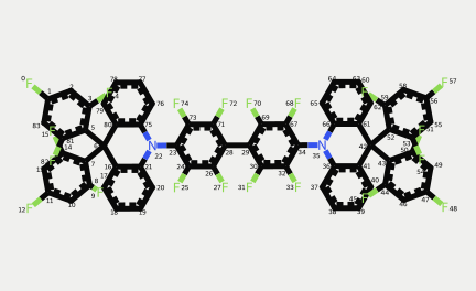 Fc1cc(F)c(C2(c3c(F)cc(F)cc3F)c3ccccc3N(c3c(F)c(F)c(-c4c(F)c(F)c(N5c6ccccc6C(c6c(F)cc(F)cc6F)(c6c(F)cc(F)cc6F)c6ccccc65)c(F)c4F)c(F)c3F)c3ccccc32)c(F)c1